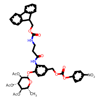 CC(=O)O[C@@H]1[C@@H](OC(C)=O)[C@H](Oc2ccc(COC(=O)Oc3ccc([N+](=O)[O-])cc3)cc2NC(=O)CCNC(=O)OCC2c3ccccc3-c3ccccc32)O[C@H](C)[C@H]1OC(C)=O